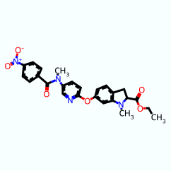 CCOC(=O)C1Cc2ccc(Oc3ccc(N(C)C(=O)c4ccc([N+](=O)[O-])cc4)cn3)cc2N1C